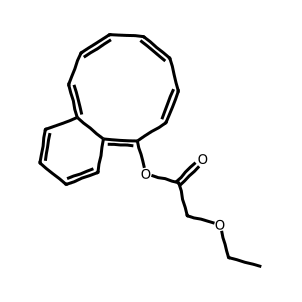 CCOCC(=O)Oc1cccccccc2ccccc12